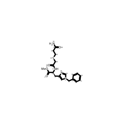 COC(=O)[C@H](Cc1cn(Cc2ccccc2)cn1)NC(=O)CSCCC(N)=O